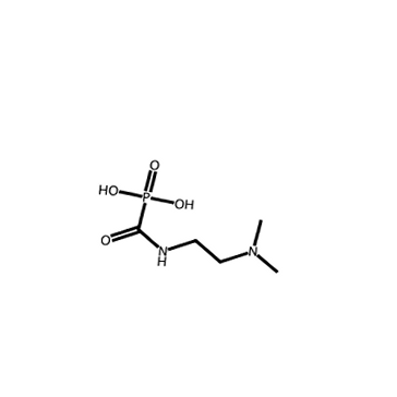 CN(C)CCNC(=O)P(=O)(O)O